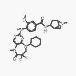 COc1cc(C(=O)NC2CC3CC2=CN3C)ccc1Nc1ncc2c(n1)N(C1CCCCC1)CC(F)(F)C(=O)N2C